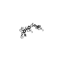 CC(C)(c1ccc(OC[C@]2(F)C[C@H](NS(C)(=O)=O)C2)cc1)c1cc(Cl)c(OCCCl)c(C#N)c1